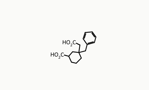 O=C(O)CC1(Cc2ccccc2)CCCC(C(=O)O)C1